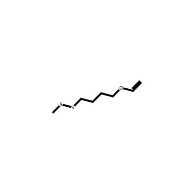 C=COCCCCSSC